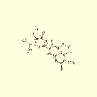 Cc1c(F)cc2nc3c(c4c2c1CCC4)Cn1c-3cc(C(C)O)c(CO)c1=O